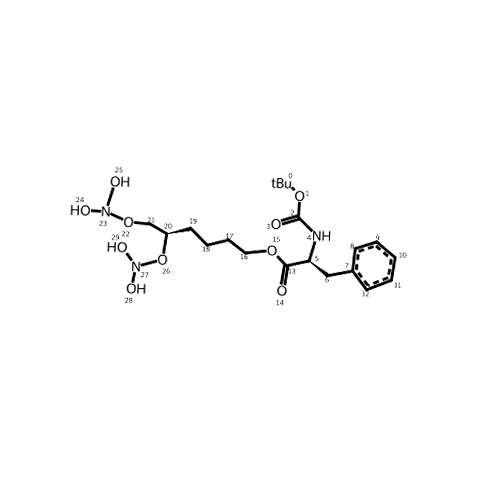 CC(C)(C)OC(=O)N[C@@H](Cc1ccccc1)C(=O)OCCCC[C@H](CON(O)O)ON(O)O